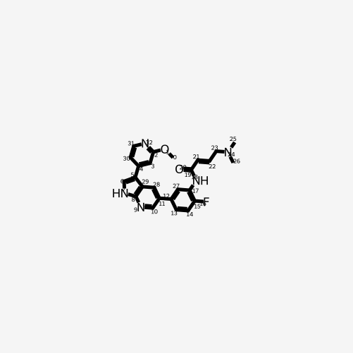 COc1cc(-c2c[nH]c3ncc(-c4ccc(F)c(NC(=O)/C=C/CN(C)C)c4)cc23)ccn1